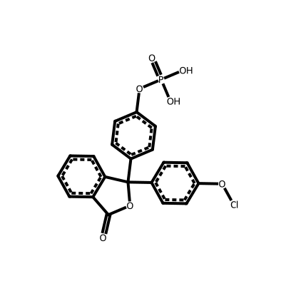 O=C1OC(c2ccc(OCl)cc2)(c2ccc(OP(=O)(O)O)cc2)c2ccccc21